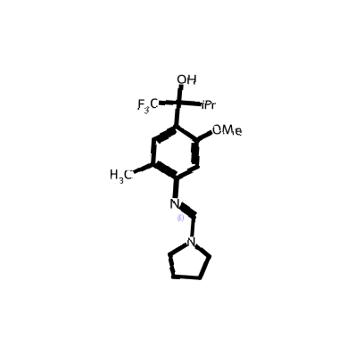 COc1cc(/N=C/N2CCCC2)c(C)cc1C(O)(C(C)C)C(F)(F)F